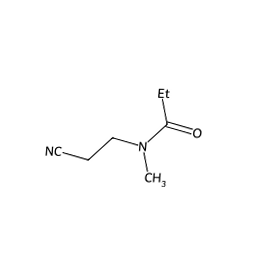 CCC(=O)N(C)CCC#N